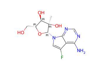 C[C@@]1(O)[C@H](O)[C@@H](CO)O[C@H]1n1cc(F)c2c(N)ncnc21